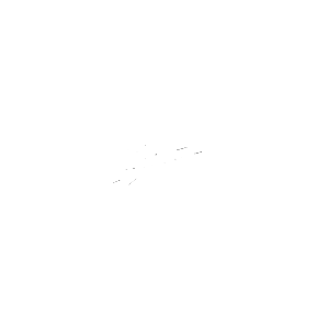 CC[C@@H]1CC2=CC(=O)CC[C@@H]2[C@H]2CC[C@@]3(C)[C@@H]([C@@H]4C[C@@H]4[C@@]34C=CC(=O)O4)[C@H]12